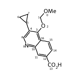 COCOc1c(C2CC2)cnc2cc(C(=O)O)ccc12